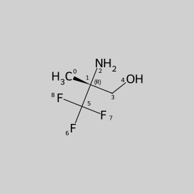 C[C@@](N)(CO)C(F)(F)F